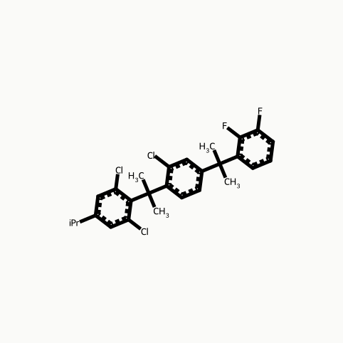 CC(C)c1cc(Cl)c(C(C)(C)c2ccc(C(C)(C)c3cccc(F)c3F)cc2Cl)c(Cl)c1